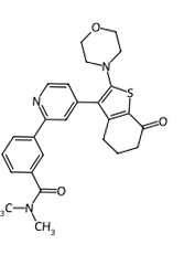 CN(C)C(=O)c1cccc(-c2cc(-c3c(N4CCOCC4)sc4c3CCCC4=O)ccn2)c1